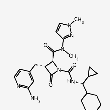 CN(C(=O)[C@@H]1[C@@H](Cc2ccnc(N)c2)C(=O)N1C(=O)N[C@@H](C1CCCCC1)C1CC1)c1ccn(C)n1